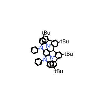 CC(C)(C)c1ccc2c(c1)c1cc(C(C)(C)C)cc3c1n2-c1c(N(c2ccccc2)c2ccccc2)cc(N(c2ccccc2)c2ccccc2)c2c1C3c1cc(C(C)(C)C)cc3c4cc(C(C)(C)C)ccc4n-2c13